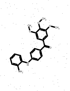 COc1cc(C(=O)c2ccc(Nc3ccccc3N)cc2)cc(OC)c1OC